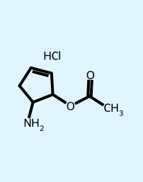 CC(=O)OC1C=CCC1N.Cl